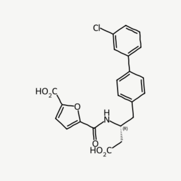 O=C(O)C[C@@H](Cc1ccc(-c2cccc(Cl)c2)cc1)NC(=O)c1ccc(C(=O)O)o1